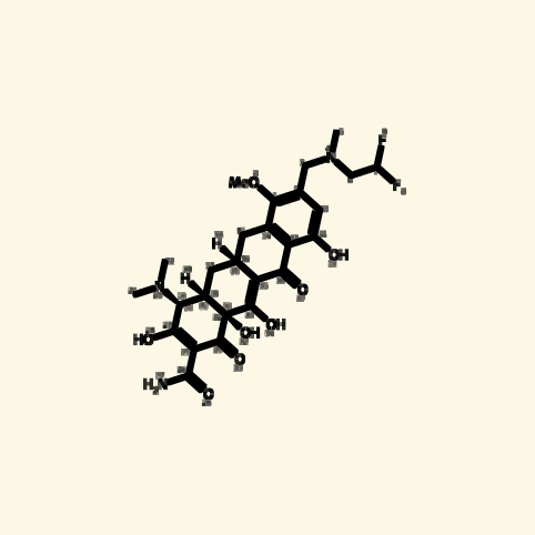 COc1c(CN(C)CC(F)F)cc(O)c2c1C[C@H]1C[C@H]3[C@H](N(C)C)C(O)=C(C(N)=O)C(=O)[C@@]3(O)C(O)=C1C2=O